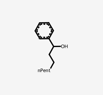 CCCCCCCC(O)c1[c]cccc1